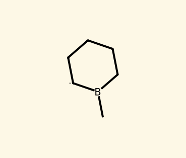 CB1[CH]CCCC1